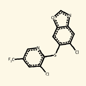 FC(F)(F)c1cnc(Sc2cc3ocnc3cc2Cl)c(Cl)c1